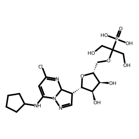 O=P(O)(O)C(CO)(CO)OC[C@H]1O[C@@H](C2C=NN3C(NC4CCCC4)=CC(Cl)=NC23)[C@H](O)[C@@H]1O